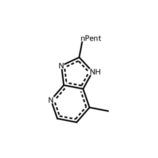 CCCCCc1nc2nccc(C)c2[nH]1